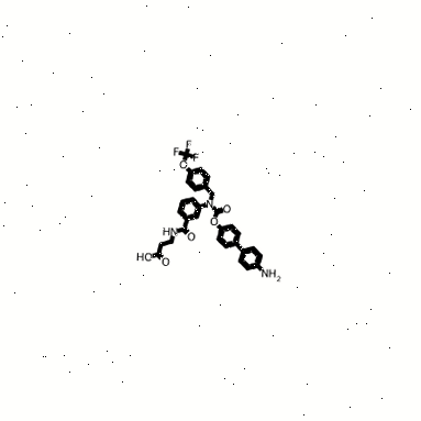 Nc1ccc(-c2ccc(OC(=O)N(Cc3ccc(OC(F)(F)F)cc3)c3cccc(C(=O)NCCC(=O)O)c3)cc2)cc1